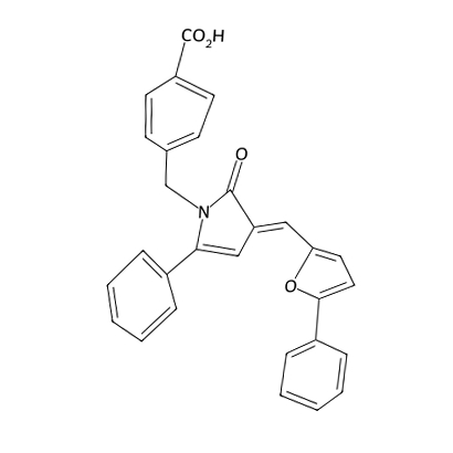 O=C(O)c1ccc(CN2C(=O)C(=Cc3ccc(-c4ccccc4)o3)C=C2c2ccccc2)cc1